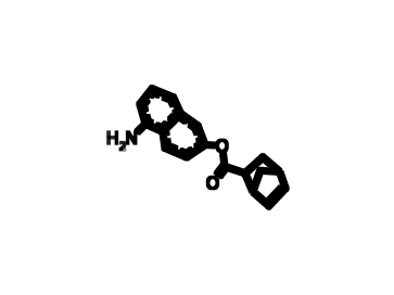 Nc1cccc2cc(OC(=O)C3CC4C=CC3C4)ccc12